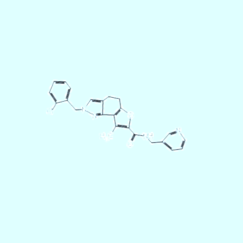 Cc1c(C(=O)NCc2cccnc2)oc2c1-c1nn(Cc3ccccc3Cl)cc1CC2